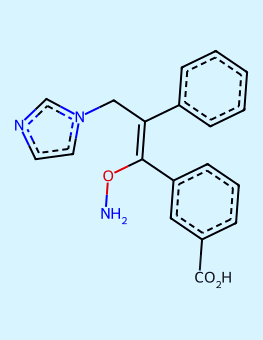 NOC(=C(Cn1ccnc1)c1ccccc1)c1cccc(C(=O)O)c1